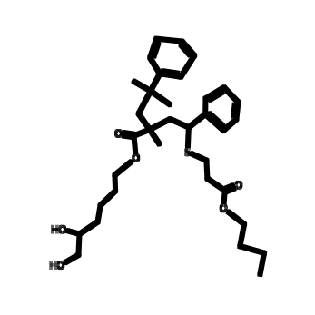 CCCCOC(=O)CCSC(CC(C)(CC(C)(C)c1ccccc1)C(=O)OCCCCC(O)CO)c1ccccc1